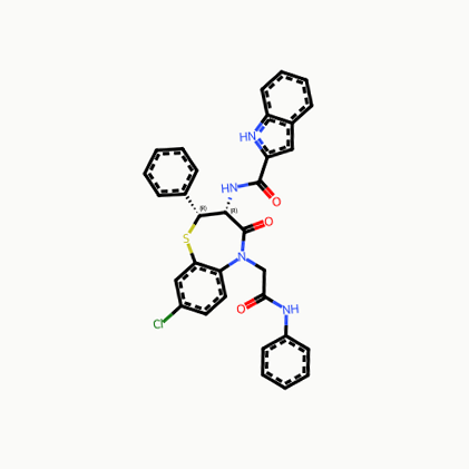 O=C(CN1C(=O)[C@@H](NC(=O)c2cc3ccccc3[nH]2)[C@@H](c2ccccc2)Sc2cc(Cl)ccc21)Nc1ccccc1